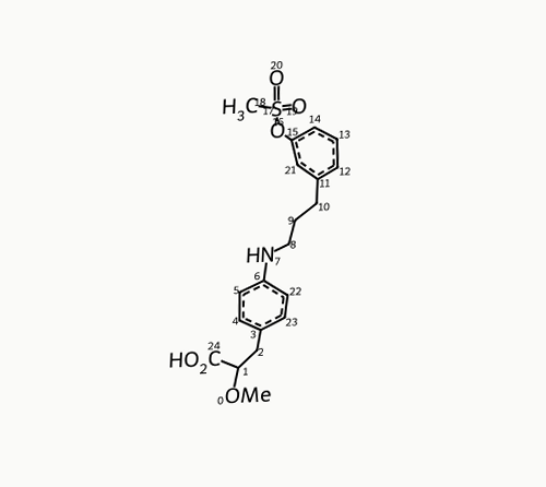 COC(Cc1ccc(NCCCc2cccc(OS(C)(=O)=O)c2)cc1)C(=O)O